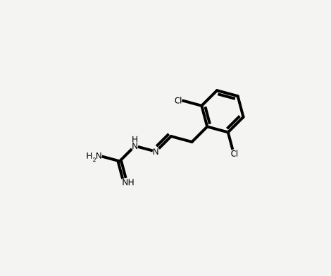 N=C(N)N/N=C/Cc1c(Cl)cccc1Cl